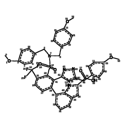 COc1ccc(CN(Cc2ccc(OC)cc2)S(=O)(=O)c2c(C(F)(F)F)ccc(-c3cccc4cc(C(=O)O)[nH]c34)c2-c2nnn(Cc3ccc(OC)cc3)n2)cc1